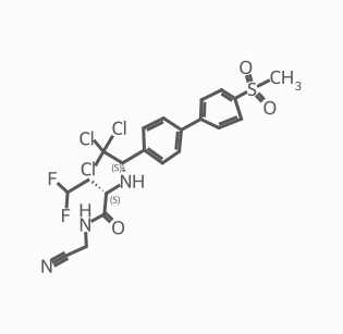 CS(=O)(=O)c1ccc(-c2ccc([C@H](N[C@@H](CC(F)F)C(=O)NCC#N)C(Cl)(Cl)Cl)cc2)cc1